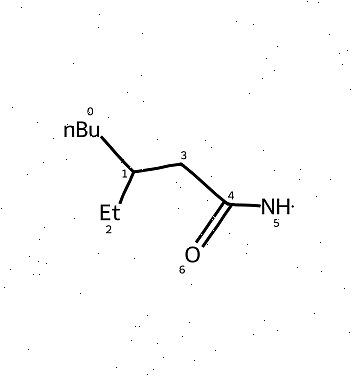 CCCCC(CC)CC([NH])=O